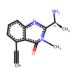 C#Cc1cccc2nc([C@H](C)N)n(C)c(=O)c12